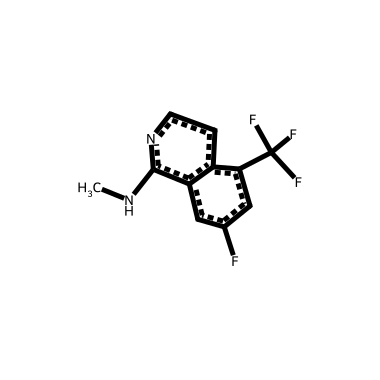 CNc1nccc2c(C(F)(F)F)cc(F)cc12